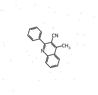 Cc1c(C#N)c(-c2ccccc2)nc2ccccc12